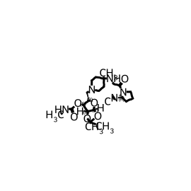 [C-]#[N+][C@@H]1CCCN1C(=O)CNC1(C)CCN(C[C@H]2O[C@@H]3OC(C)(C)O[C@@H]3[C@H]2OC(=O)NC)CC1